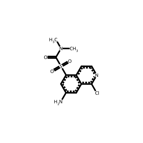 CN(C)C(=O)S(=O)(=O)c1cc(N)cc2c(Cl)nccc12